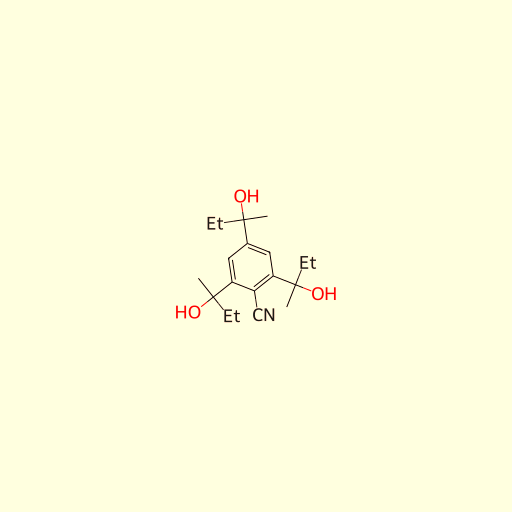 CCC(C)(O)c1cc(C(C)(O)CC)c(C#N)c(C(C)(O)CC)c1